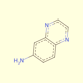 Nc1ccc2nc[c]nc2c1